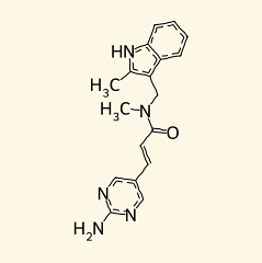 Cc1[nH]c2ccccc2c1CN(C)C(=O)C=Cc1cnc(N)nc1